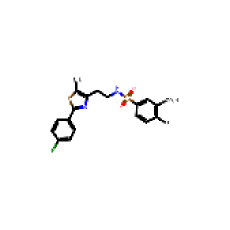 Cc1sc(-c2ccc(F)cc2)nc1CCNS(=O)(=O)c1ccc(C(C)C)c(C(=O)O)c1